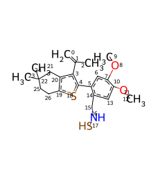 C=C(C)c1c(-c2cc(OC)c(OC)cc2CNS)sc2c1CC(C)(C)CC2